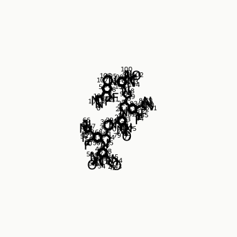 Cn1cc(-c2cc3c(cc2C(F)F)N(c2cc(N4CCC(C5CCN(c6cc(N7CCCC(C8CCN(c9cc(N%10CCOCC%10)c%10c(c9)n(C)c(=O)n%10C)c9cc(C(F)F)c(-c%10cnn(C)c%10)cc98)C7)c7c(c6)n(C)c(=O)n7C)c6cc(C(F)F)c(-c7cnn(C)c7)cc65)C4)c4c(c2)n(C)c(=O)n4C)CCC3)cn1